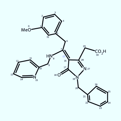 COc1cccc(C/C(NCc2ccccn2)=C2/C(=O)N(Cc3ccccc3)N=C2CC(=O)O)c1